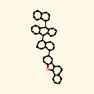 c1ccc2c(-c3c4ccccc4c(-c4cccc5c(-c6ccc7oc8c9ccccc9ccc8c7c6)cccc45)c4ccccc34)cccc2c1